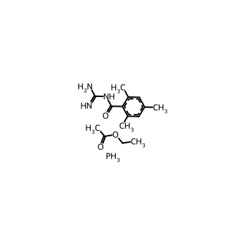 CCOC(C)=O.Cc1cc(C)c(C(=O)NC(=N)N)c(C)c1.P